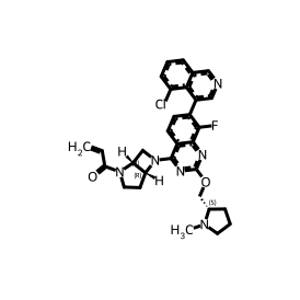 C=CC(=O)N1CC[C@@H]2[C@H]1CN2c1nc(OC[C@@H]2CCCN2C)nc2c(F)c(-c3cncc4cccc(Cl)c34)ccc12